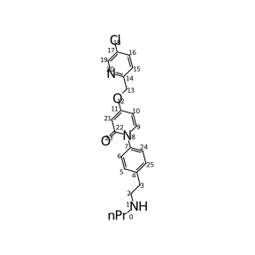 CCCNCCc1ccc(-n2ccc(OCc3ccc(Cl)cn3)cc2=O)cc1